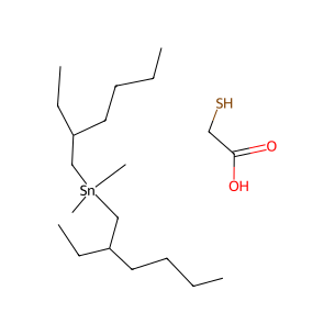 CCCCC(CC)[CH2][Sn]([CH3])([CH3])[CH2]C(CC)CCCC.O=C(O)CS